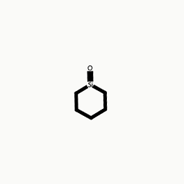 O=[Si]1CCCCC1